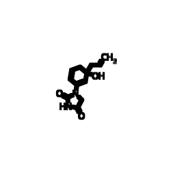 C=CCC1(O)C=C(N2CC(=O)NC2=O)C=CC1